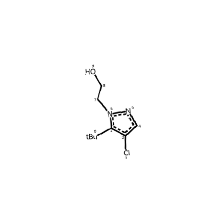 CC(C)(C)c1c(Cl)cnn1CCO